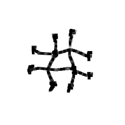 FC1(F)S(F)(F)C(F)(F)S1(F)F